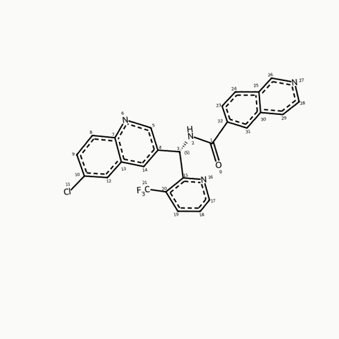 O=C(N[C@@H](c1cnc2ccc(Cl)cc2c1)c1ncccc1C(F)(F)F)c1ccc2cnccc2c1